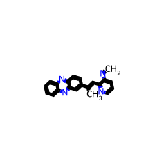 C=Nc1cccnc1/C=C(\C)c1ccc2nc3ccccc3nc2c1